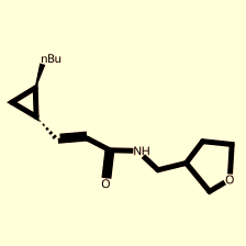 CCCC[C@@H]1C[C@H]1/C=C/C(=O)NCC1CCOC1